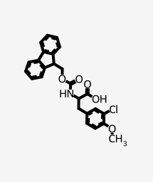 COc1ccc(CC(NC(=O)OCC2c3ccccc3-c3ccccc32)C(=O)O)cc1Cl